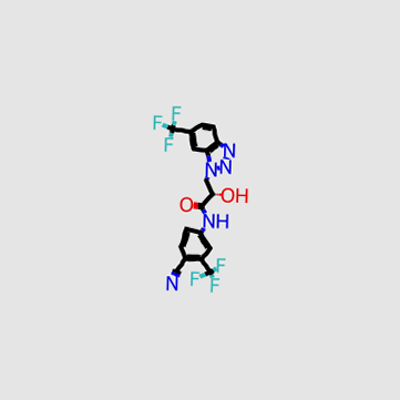 N#Cc1ccc(NC(=O)[C@@H](O)Cn2nnc3ccc(C(F)(F)F)cc32)cc1C(F)(F)F